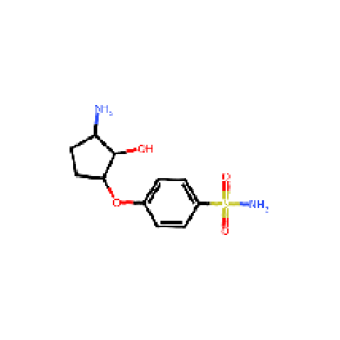 NC1CCC(Oc2ccc(S(N)(=O)=O)cc2)C1O